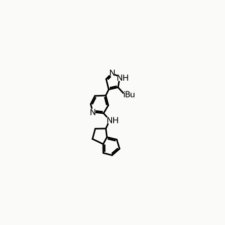 CCC(C)c1[nH]ncc1-c1ccnc(NC2CCc3ccccc32)c1